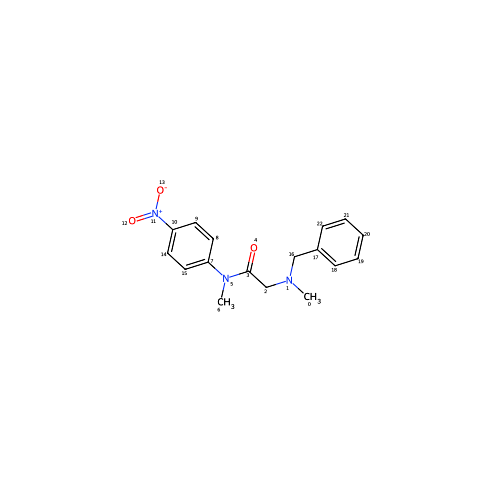 CN(CC(=O)N(C)c1ccc([N+](=O)[O-])cc1)Cc1ccccc1